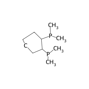 CP(C)C1CCCCC1P(C)C